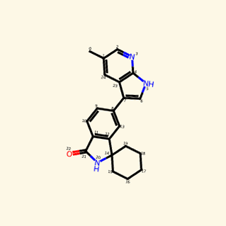 Cc1cnc2[nH]cc(-c3ccc4c(c3)C3(CCCCC3)NC4=O)c2c1